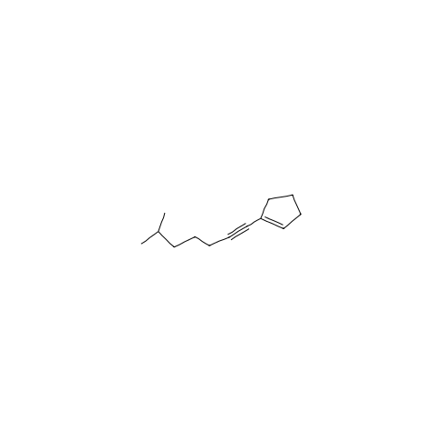 CC(C)CCCC#CC1=CCCC1